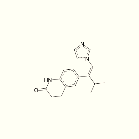 CC(C)/C(=C/n1ccnc1)c1ccc2c(c1)CCC(=O)N2